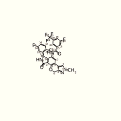 Cn1cc2c(n1)COc1c-2cc(NC(=O)c2cc(F)cc(C(F)(F)F)c2)c2c1C(=O)NC2c1cc(F)ccc1Cl